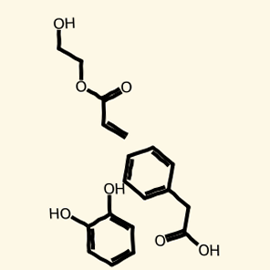 C=CC(=O)OCCO.O=C(O)Cc1ccccc1.Oc1ccccc1O